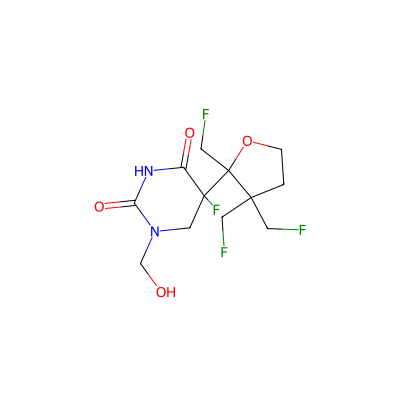 O=C1NC(=O)C(F)(C2(CF)OCCC2(CF)CF)CN1CO